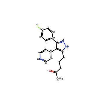 COC(=O)CCCc1[nH]nc(-c2ccc(F)cc2)c1-c1ccncc1